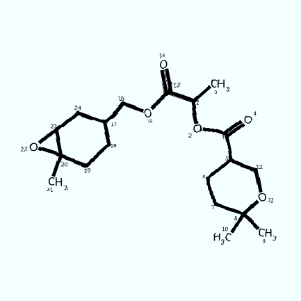 CC(OC(=O)C1CCC(C)(C)OC1)C(=O)OCC1CCC2(C)OC2C1